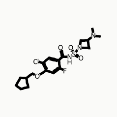 CN(C)C1CN(S(=O)(=O)NC(=O)c2cc(Cl)c(OCC3CCCC3)cc2F)C1